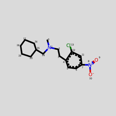 CN(CCc1ccc([N+](=O)[O-])cc1Cl)CC1CCCCC1